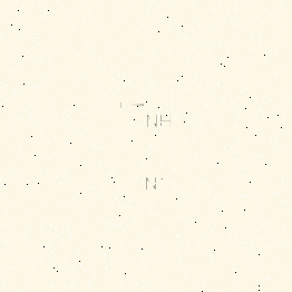 C#C[N+](C)(C)CCCNC(=O)C=C